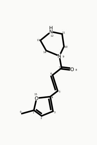 Cc1ccc(/C=C/C(=O)N2CCNCC2)o1